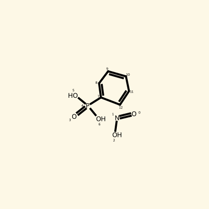 O=NO.O=P(O)(O)c1ccccc1